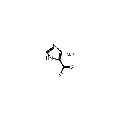 S=C([S-])c1cnc[nH]1.[Na+]